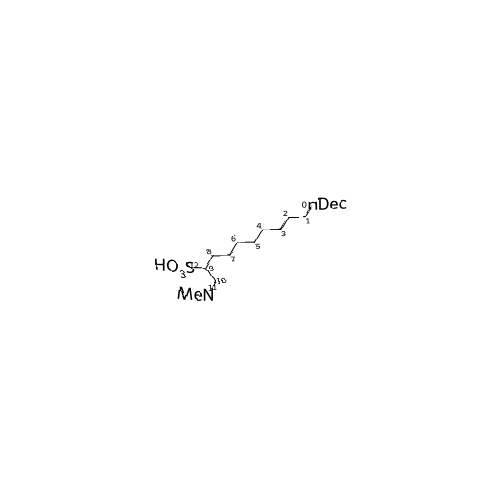 CCCCCCCCCCCCCCCCCCC(CNC)S(=O)(=O)O